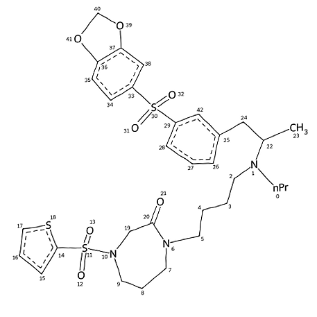 CCCN(CCCCN1CCCN(S(=O)(=O)c2cccs2)CC1=O)C(C)Cc1cccc(S(=O)(=O)c2ccc3c(c2)OCO3)c1